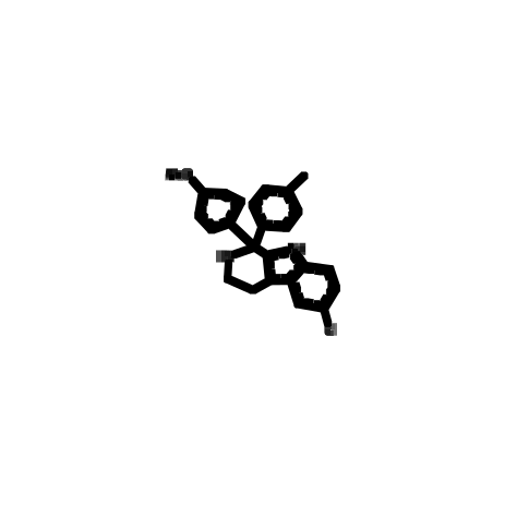 COc1ccc(C2(c3ccc(C)cc3)NCCc3c2[nH]c2ccc(Cl)cc32)cc1